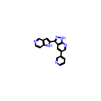 c1cncc(-c2cnc3[nH]nc(-c4cc5cnccc5[nH]4)c3c2)c1